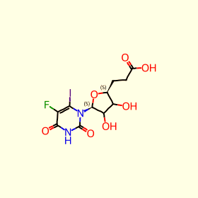 O=C(O)CC[C@@H]1O[C@H](n2c(I)c(F)c(=O)[nH]c2=O)C(O)C1O